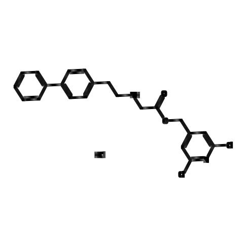 Cl.O=C(CNCCc1ccc(-c2ccccc2)cc1)OCc1cc(Cl)nc(Cl)c1